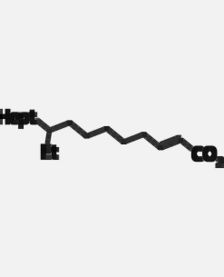 CCCCCCCC(CC)CCCCCC=CC(=O)O